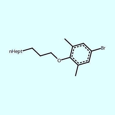 CCCCCCCCCCOc1c(C)cc(Br)cc1C